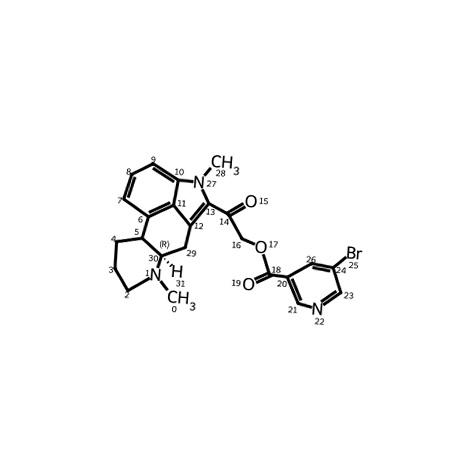 CN1CCCC2c3cccc4c3c(c(C(=O)COC(=O)c3cncc(Br)c3)n4C)C[C@H]21